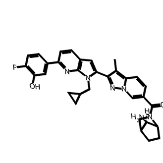 Cc1c(-c2cc3ccc(-c4ccc(F)c(O)c4)nc3n2CC2CC2)nn2cc(C(=O)N3CC4CCC3[C@@H]4N)ccc12